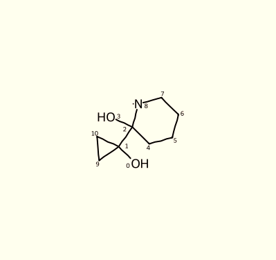 OC1(C2(O)CCCC[N]2)CC1